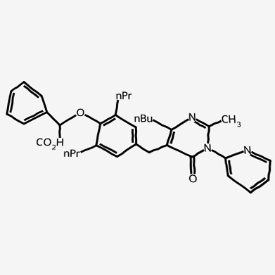 CCCCc1nc(C)n(-c2ccccn2)c(=O)c1Cc1cc(CCC)c(OC(C(=O)O)c2ccccc2)c(CCC)c1